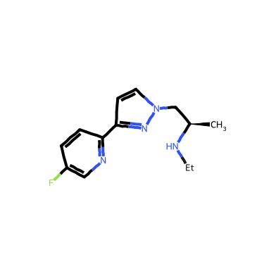 CCN[C@H](C)Cn1ccc(-c2ccc(F)cn2)n1